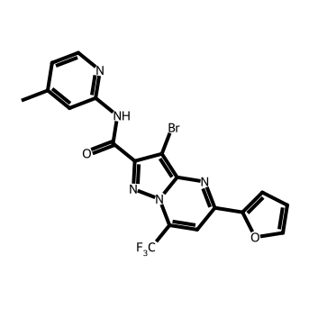 Cc1ccnc(NC(=O)c2nn3c(C(F)(F)F)cc(-c4ccco4)nc3c2Br)c1